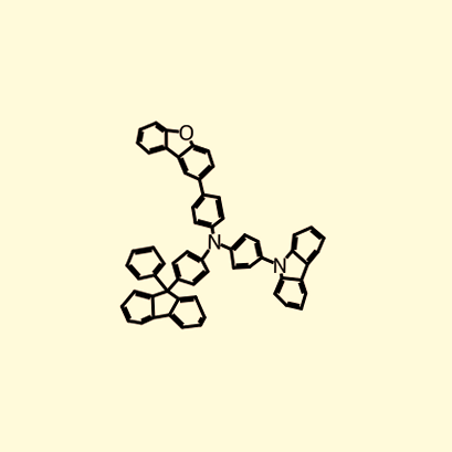 c1ccc(C2(c3ccc(N(c4ccc(-c5ccc6oc7ccccc7c6c5)cc4)c4ccc(-n5c6ccccc6c6ccccc65)cc4)cc3)c3ccccc3-c3ccccc32)cc1